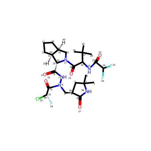 CC1(C)C[C@H](CN(NC(=O)[C@@H]2[C@H]3CCC[C@H]3CN2C(=O)C(NC(=O)C(F)F)C(C)(C)C)C(=O)[C@H](F)Cl)C(=O)N1